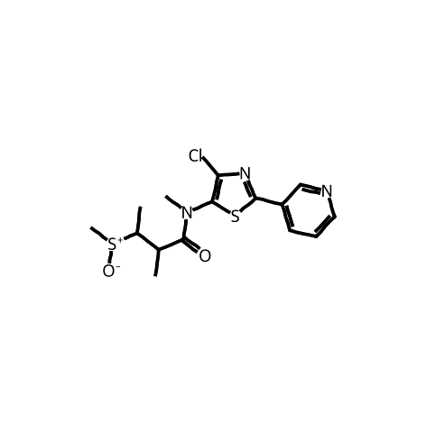 CC(C(=O)N(C)c1sc(-c2cccnc2)nc1Cl)C(C)[S+](C)[O-]